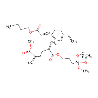 C=C(CCC(=C)C(=O)OCCC[Si](OC)(OC)OC)C(=O)OC.C=CC(=O)OCCCC.C=Cc1ccccc1